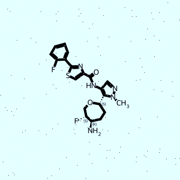 Cn1ncc(NC(=O)c2csc(-c3ccccc3F)n2)c1[C@@H]1CC[C@@H](N)[C@H](F)CO1